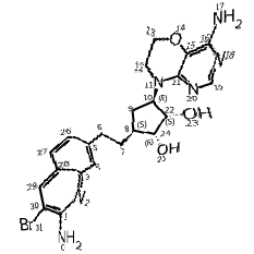 Nc1nc2cc(CC[C@H]3C[C@@H](N4CCOc5c(N)ncnc54)[C@H](O)[C@@H]3O)ccc2cc1Br